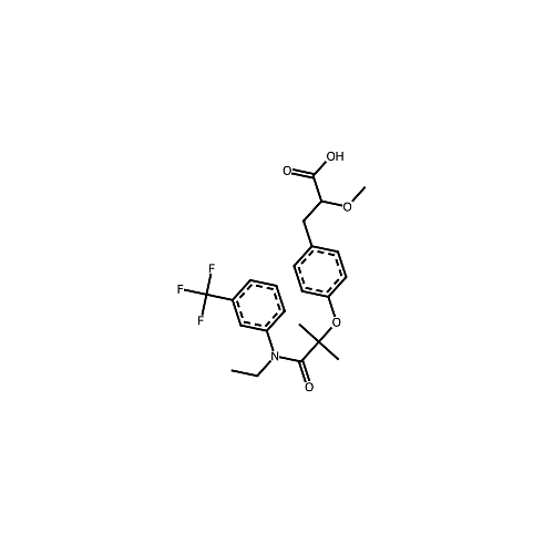 CCN(C(=O)C(C)(C)Oc1ccc(CC(OC)C(=O)O)cc1)c1cccc(C(F)(F)F)c1